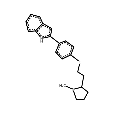 CN1CCCC1CCOc1ccc(-c2cc3ccccc3[nH]2)cc1